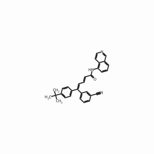 CC(C)(C)c1ccc(C(=CC=CC(=O)Nc2cccc3cnccc23)c2cccc(C#N)c2)cc1